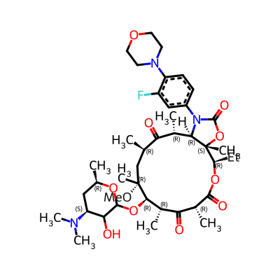 CC[C@H]1OC(=O)[C@H](C)C(=O)[C@H](C)[C@@H](OC2O[C@H](C)C[C@H](N(C)C)C2O)[C@](C)(OC)C[C@@H](C)C(=O)[C@H](C)[C@H]2N(c3ccc(N4CCOCC4)c(F)c3)C(=O)O[C@]12C